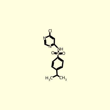 CC(C)c1ccc(S(=O)(=O)Nc2cc(Cl)ncn2)cc1